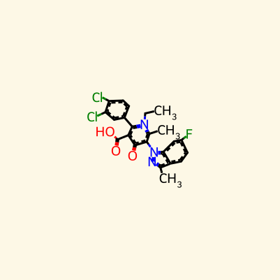 CCn1c(C)c(-n2nc(C)c3ccc(F)cc32)c(=O)c(C(=O)O)c1-c1ccc(Cl)c(Cl)c1